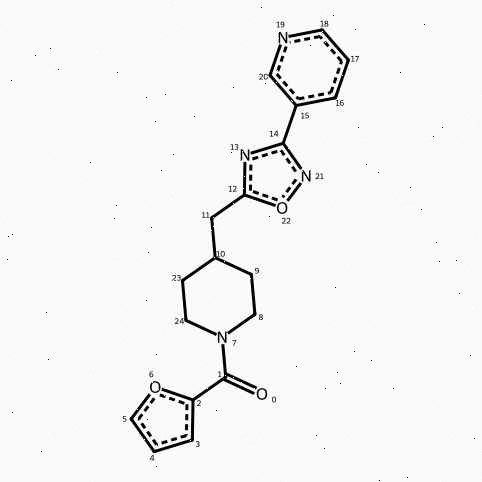 O=C(c1ccco1)N1CCC(Cc2nc(-c3cccnc3)no2)CC1